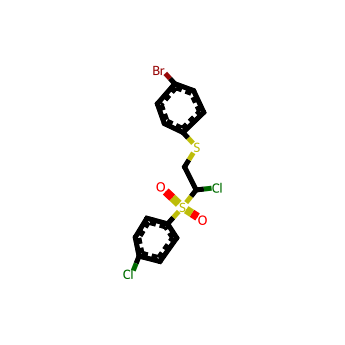 O=S(=O)(c1ccc(Cl)cc1)C(Cl)CSc1ccc(Br)cc1